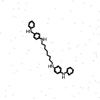 c1ccc(Nc2ccc(NCCCCCCCCNc3ccc(Nc4ccccc4)cc3)cc2)cc1